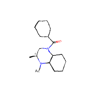 CC(=O)N1C2CCCCC2N(C(=O)C2CCCCC2)C[C@@H]1C